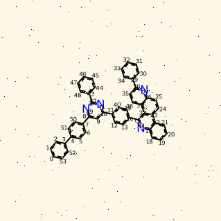 c1ccc(-c2ccc(-c3cc(-c4ccc(-c5nc6ccccc6c6ccc7nc(-c8ccccc8)ccc7c56)cc4)nc(-c4ccccc4)n3)cc2)cc1